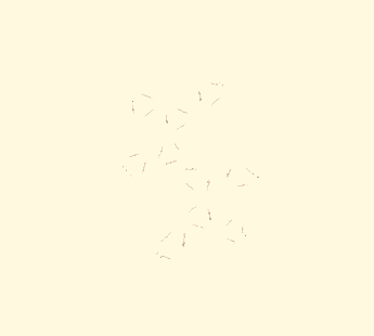 c1cc(-c2cc(-c3ccncc3)c3oc4c(-c5ccncc5)cc(-c5cc(-c6ccncc6)c6sc7c(-c8ccncc8)cc(-c8ccncc8)cc7c6c5)cc4c3c2)ccn1